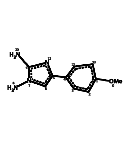 COc1ccc(-c2cn(N)c(N)n2)cc1